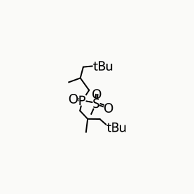 CC(CC(C)(C)C)CP(=O)(CC(C)CC(C)(C)C)S(C)(=O)=O